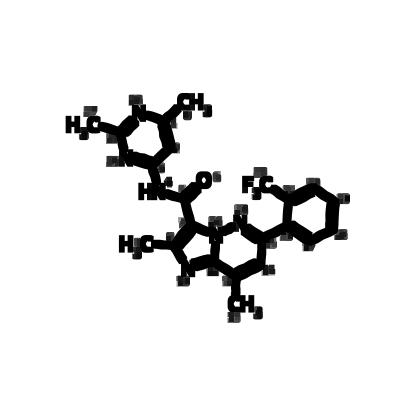 Cc1cc(NC(=O)c2c(C)nc3c(C)cc(-c4ccccc4C(F)(F)F)nn23)nc(C)n1